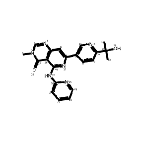 Cn1cnc2cc(-c3ccc(C(C)(C)O)nc3)nc(Nc3ccccn3)c2c1=O